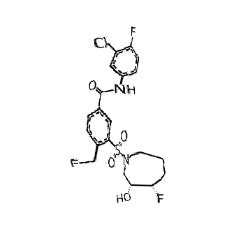 O=C(Nc1ccc(F)c(Cl)c1)c1ccc(CF)c(S(=O)(=O)N2CCC[C@H](F)[C@H](O)C2)c1